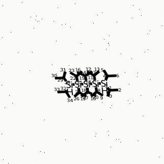 CC(C)[SiH](C(C)C)[Si](C(C)C)(C(C)C)[Si](C(C)C)(C(C)C)[Si](C(C)C)(C(C)C)[SiH](C(C)C)C(C)C